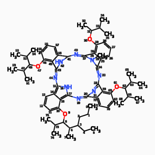 CCCC(CC)C(C)C(Oc1cccc2c3[nH]c(c12)/N=C1N=C(/N=c2/c4cccc(OC(C)C(C)C)c4/c(n2C)=N/C2N/C(=N\3)c3c(OC(C(C)C)C(C)C)cccc32)c2c(OC(C(C)C)C(C)C)cccc2\1)C(C)C